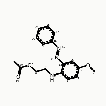 COc1ccc(NCCOC(C)=O)c(N=Nc2ccccc2)c1